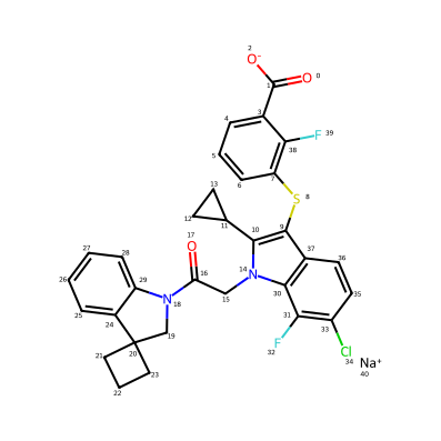 O=C([O-])c1cccc(Sc2c(C3CC3)n(CC(=O)N3CC4(CCC4)c4ccccc43)c3c(F)c(Cl)ccc23)c1F.[Na+]